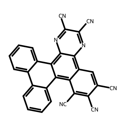 N#Cc1cc2c3nc(C#N)c(C#N)nc3c3c4ccccc4c4ccccc4c3c2c(C#N)c1C#N